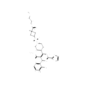 COC(=O)C1=C(C2CCN(S(=O)(=O)C3CC(C)(C(=O)OCCSI)C3)CC2)NC(c2nccs2)=NC1c1cccc(F)c1Br